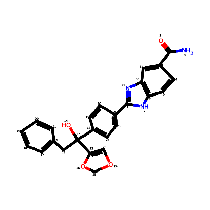 NC(=O)c1ccc2[nH]c(-c3ccc(C(O)(Cc4ccccc4)C4=COCO4)cc3)nc2c1